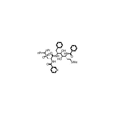 CCCC(CCC)S(=O)(=O)C[C@@H](NC(=O)c1cccnc1)C(=O)N[C@@H](Cc1ccccc1)[C@@H](O)[C@H](O)[C@@H](CCSC)NC(=O)c1ccccc1